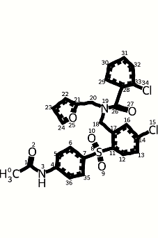 CC(=O)Nc1ccc(S(=O)(=O)c2ccc(Cl)cc2CN(Cc2ccco2)C(=O)c2ccccc2Cl)cc1